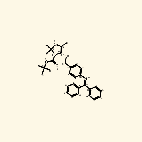 C[C@@H]1OC(C)(C)N(C(=O)OC(C)(C)C)[C@H]1CCc1ccc(N=C(c2ccccc2)c2ccccc2)cc1